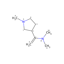 C=C(C1CCN(C)C1)N(C)C